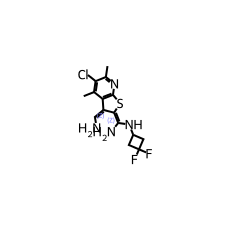 Cc1nc2sc(=C(/N)NC3CC(F)(F)C3)/c(=C\N)c2c(C)c1Cl